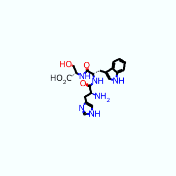 N[C@@H](Cc1c[nH]cn1)C(=O)N[C@@H](Cc1c[nH]c2ccccc12)C(=O)N[C@@H](CO)C(=O)O